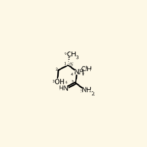 C[C@@H](CO)NC(=N)N.Cl